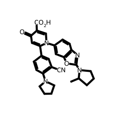 CC1CCCN1c1nc2ccc(-n3cc(C(=O)O)c(=O)cc3-c3ccc(N4CCCC4)c(C#N)c3)cc2o1